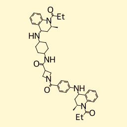 CCC(=O)N1c2ccccc2[C@H](Nc2ccc(C(=O)N3CC(C(=O)NC4CCC(N[C@@H]5C[C@H](C)N(C(=O)CC)c6ccccc65)CC4)C3)cc2)C[C@@H]1C